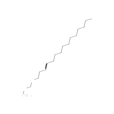 CCCCCCCCCOCOCCC=CCCCCCCCCCCI